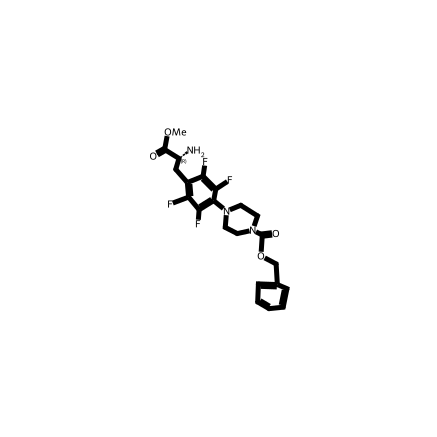 COC(=O)[C@H](N)Cc1c(F)c(F)c(N2CCN(C(=O)OCc3ccccc3)CC2)c(F)c1F